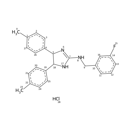 Cc1ccc(C2N=C(NCc3cccc(F)c3)NC2c2ccc(C)cc2)cc1.Cl